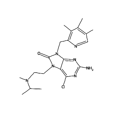 Cc1cnc(Cn2c(=O)n(CCN(C)C(C)C)c3c(Cl)nc(N)nc32)c(C)c1C